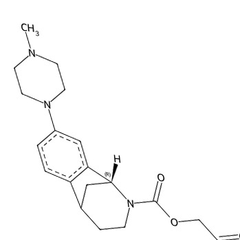 C=CCOC(=O)N1CCC2C[C@@H]1c1cc(N3CCN(C)CC3)ccc12